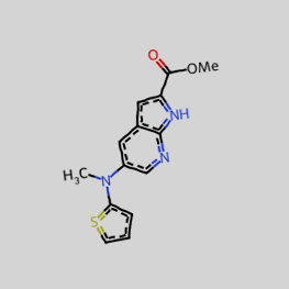 COC(=O)c1cc2cc(N(C)c3cccs3)cnc2[nH]1